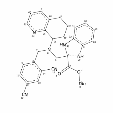 CC(C)(C)OC(=O)C1(CN(Cc2ccc(C#N)cc2C#N)C2CCCc3cccnc32)Nc2ccccc2N1